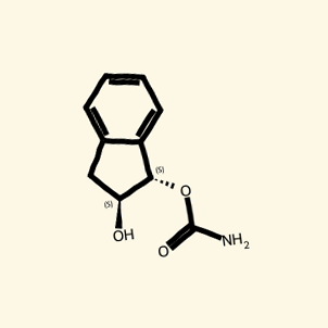 NC(=O)O[C@H]1c2ccccc2C[C@@H]1O